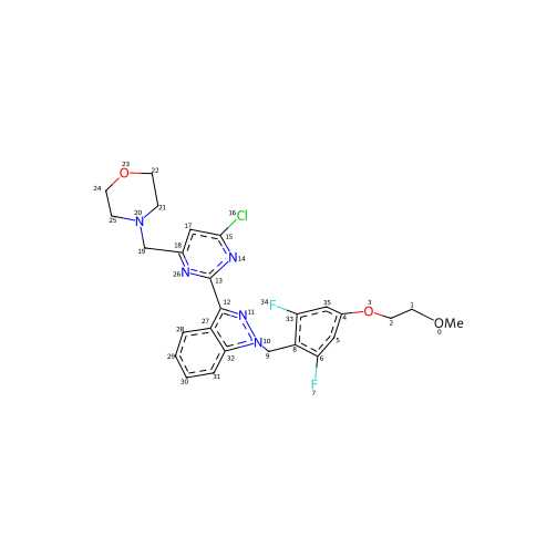 COCCOc1cc(F)c(Cn2nc(-c3nc(Cl)cc(CN4CCOCC4)n3)c3ccccc32)c(F)c1